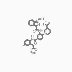 CC(C)(C)OC(=O)Cc1cc(F)ccc1NC(=O)c1ccc(N2CCCC(C(F)F)C2)c(NC(=O)c2nn(CC(F)(F)F)c3ccccc23)c1